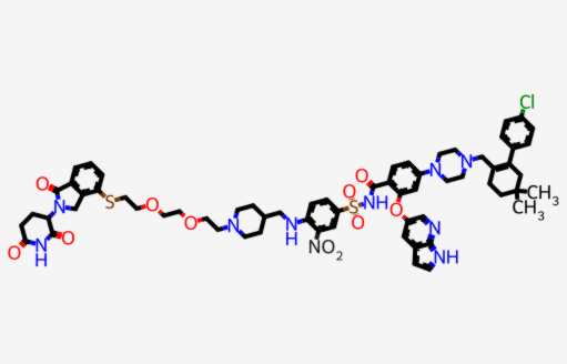 CC1(C)CCC(CN2CCN(c3ccc(C(=O)NS(=O)(=O)c4ccc(NCC5CCN(CCOCCOCCSc6cccc7c6CN(C6CCC(=O)NC6=O)C7=O)CC5)c([N+](=O)[O-])c4)c(Oc4cnc5[nH]ccc5c4)c3)CC2)=C(c2ccc(Cl)cc2)C1